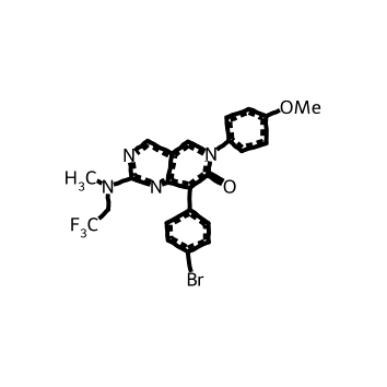 COc1ccc(-n2cc3cnc(N(C)CC(F)(F)F)nc3c(-c3ccc(Br)cc3)c2=O)cc1